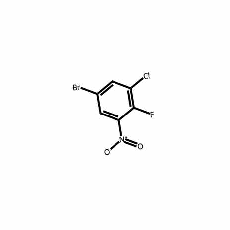 O=[N+]([O-])c1cc(Br)cc(Cl)c1F